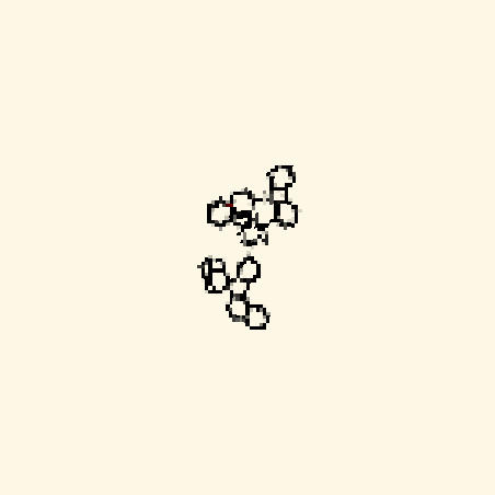 c1ccc(-c2nc(-c3ccc4c(c3)C3(c5ccc6ccccc6c5-4)C4CC5CC(C4)CC3C5)nc(-c3cccc4c5ccccc5n(-c5ccccc5)c34)n2)cc1